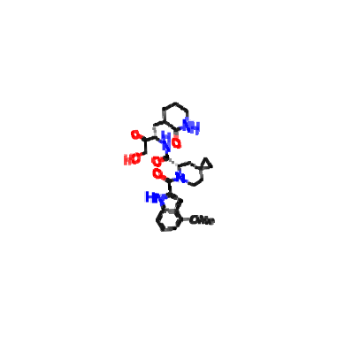 COc1cccc2[nH]c(C(=O)N3CCC4(CC4)C[C@H]3C(=O)N[C@@H](CC3CCCNC3=O)C(=O)CO)cc12